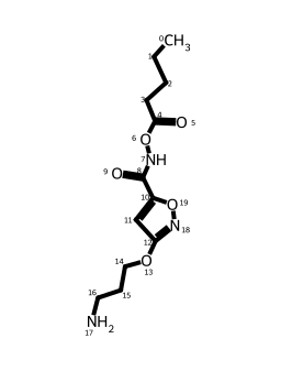 CCCCC(=O)ONC(=O)c1cc(OCCCN)no1